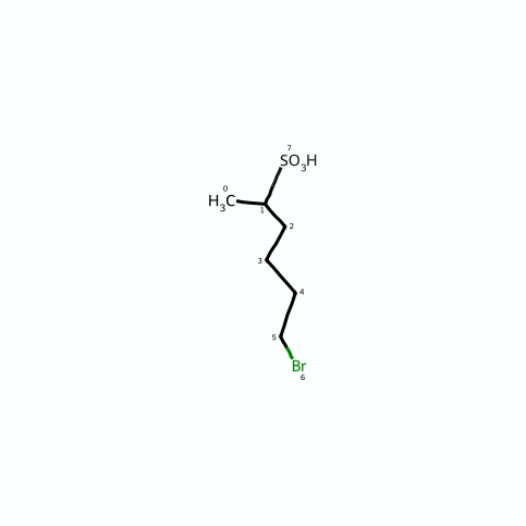 CC(CCCCBr)S(=O)(=O)O